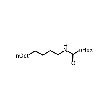 CCCCCCCCCCCCNC(=O)CCCCCC